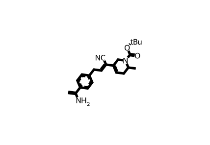 C=C(N)c1ccc(C/C=C(\C#N)C2=CCC(C)N(C(=O)OC(C)(C)C)C2)cc1